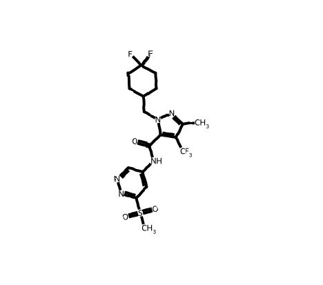 Cc1nn(CC2CCC(F)(F)CC2)c(C(=O)Nc2cnnc(S(C)(=O)=O)c2)c1C(F)(F)F